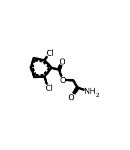 NC(=O)COC(=O)c1c(Cl)cccc1Cl